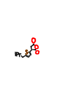 CC(C)Cc1ccc(C2CC(=O)OC2=O)s1